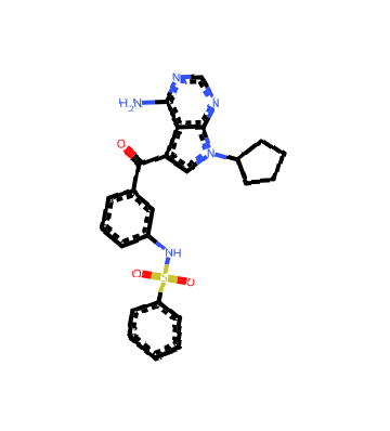 Nc1ncnc2c1c(C(=O)c1cccc(NS(=O)(=O)c3ccccc3)c1)cn2C1CCCC1